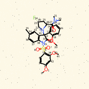 COc1ccc(S(=O)(=O)N2C(=O)C(c3ccccc3OC)(N3C[C@H](F)C[C@H]3C(=O)N(C)C)c3cc(C)ccc32)c(OC)c1